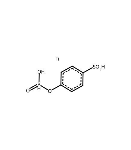 O=[PH](O)Oc1ccc(S(=O)(=O)O)cc1.[Ti]